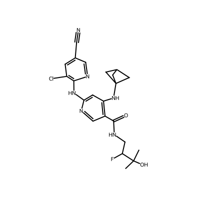 CC(C)(O)C(F)CNC(=O)c1cnc(Nc2ncc(C#N)cc2Cl)cc1NC12CC(C1)C2